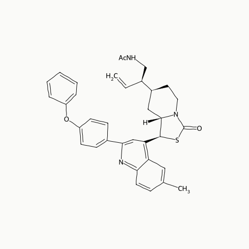 C=C[C@@H](CNC(C)=O)[C@H]1CCN2C(=O)S[C@@H](c3cc(-c4ccc(Oc5ccccc5)cc4)nc4ccc(C)cc34)[C@@H]2C1